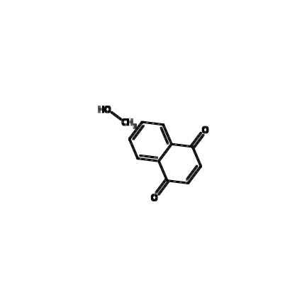 CO.O=C1C=CC(=O)c2ccccc21